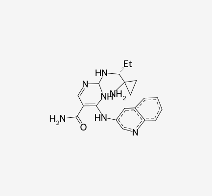 CC[C@@H](NC1N=CC(C(N)=O)=C(Nc2cnc3ccccc3c2)N1)C1(N)CC1